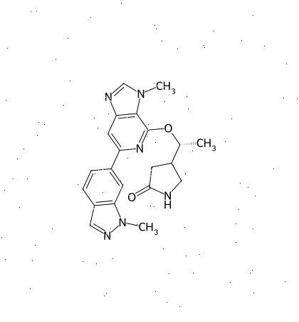 C[C@@H](Oc1nc(-c2ccc3cnn(C)c3c2)cc2ncn(C)c12)C1CNC(=O)C1